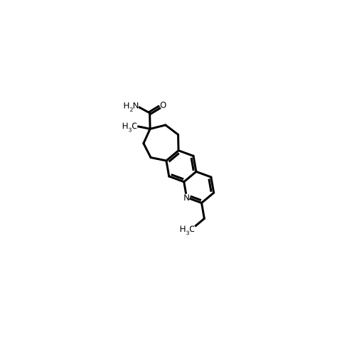 CCc1ccc2cc3c(cc2n1)CCC(C)(C(N)=O)CC3